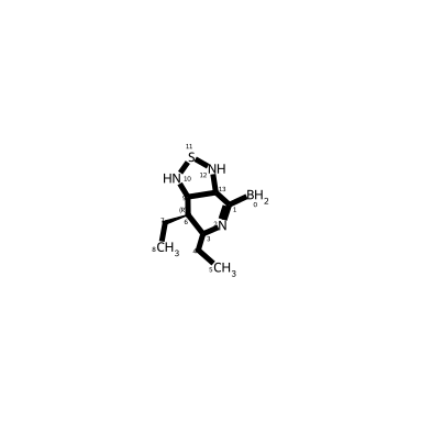 BC1=NC(CC)[C@@H](CC)C2NSNC12